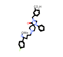 CON=C(CCCN1CCC2(CC1)C(=O)N(Cc1cccc(C(=O)O)c1)CN2c1ccccc1)c1ccc(F)cc1